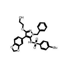 CC(C)(C)c1ccc(S(=O)(=O)Nc2c(-c3ccc4c(c3)OCO4)c(OCCO)nn2Cc2ccccc2)cc1